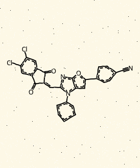 N#Cc1ccc(-c2cc3c(nc(C=C4C(=O)c5cc(Cl)c(Cl)cc5C4=O)n3-c3ccccc3)o2)cc1